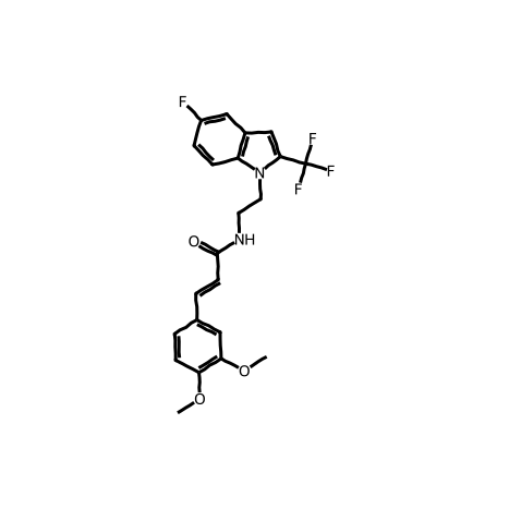 COc1ccc(/C=C/C(=O)NCCn2c(C(F)(F)F)cc3cc(F)ccc32)cc1OC